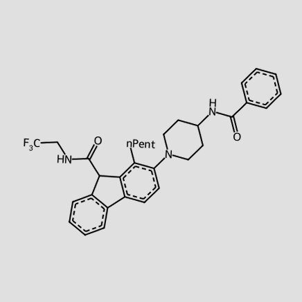 CCCCCc1c(N2CCC(NC(=O)c3ccccc3)CC2)ccc2c1C(C(=O)NCC(F)(F)F)c1ccccc1-2